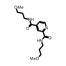 COCCCNC(=O)c1ccnc(C(=O)NCCCOC)c1